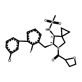 CS(=O)(=O)N[C@@H]1[C@H](Cc2cccc(-c3cccc(Cl)c3)c2F)N(C(=O)C2CCO2)CC12CC2